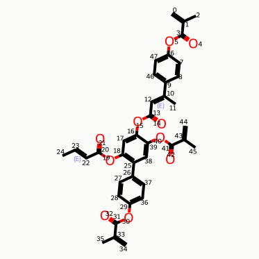 C=C(C)C(=O)Oc1ccc(/C(C)=C/C(=O)Oc2cc(OC(=O)/C=C/C)c(-c3ccc(OC(=O)C(=C)C)cc3)cc2OC(=O)C(=C)C)cc1